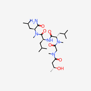 CC(C)C[C@H](NC(=O)[C@H](CC(C)C)N(C)C(=O)CN(C)C(=O)C[C@@H](C)O)C(=O)N(C)[C@@H](CC(C)C)C(N)=O